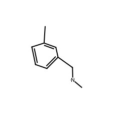 C[N]Cc1cccc(C)c1